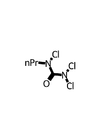 CCCN(Cl)C(=O)N(Cl)Cl